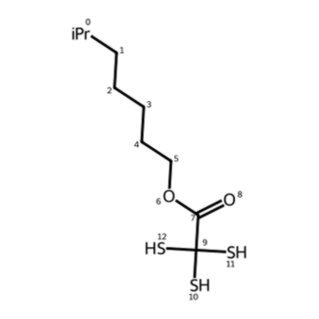 CC(C)CCCCCOC(=O)C(S)(S)S